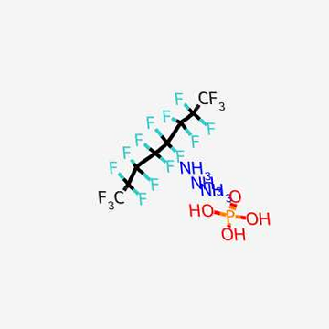 FC(F)(F)C(F)(F)C(F)(F)C(F)(F)C(F)(F)C(F)(F)C(F)(F)C(F)(F)F.N.N.N.O=P(O)(O)O